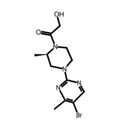 Cc1nc(N2CCN(C(=O)CO)[C@H](C)C2)ncc1Br